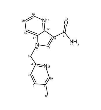 Cc1ccc(Cn2cc(C(N)=O)c3ncccc32)nc1